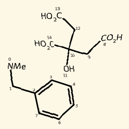 CNCc1ccccc1.O=C(O)CC(O)(CC(=O)O)C(=O)O